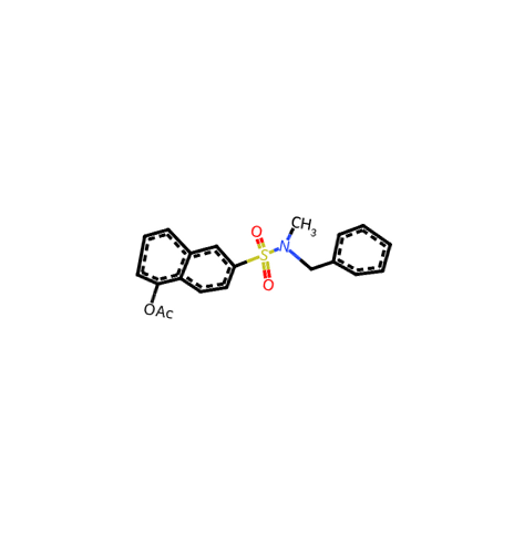 CC(=O)Oc1cccc2cc(S(=O)(=O)N(C)Cc3ccccc3)ccc12